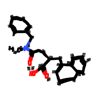 CN(Cc1ccccc1)C(=O)C[C@@H](Cc1cccc2ccccc12)C(=O)O